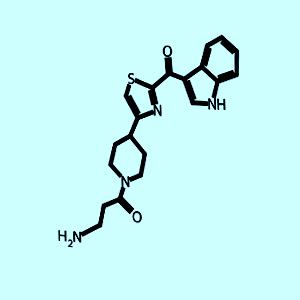 NCCC(=O)N1CCC(c2csc(C(=O)c3c[nH]c4ccccc34)n2)CC1